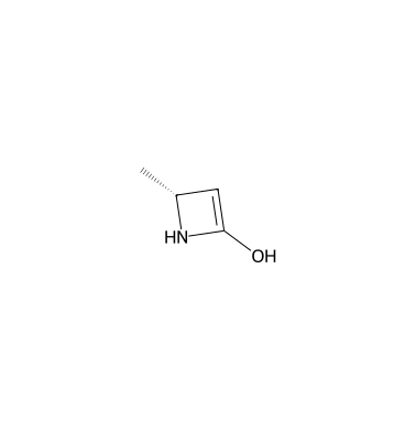 C[C@@H]1C=C(O)N1